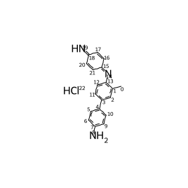 Cc1cc(-c2ccc(N)cc2)ccc1N=C1C=CC(=N)C=C1.Cl